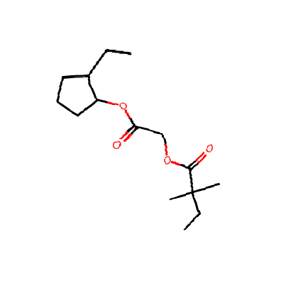 CCC1CCCC1OC(=O)COC(=O)C(C)(C)CC